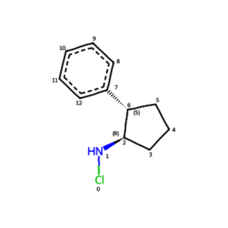 ClN[C@@H]1CCC[C@H]1c1ccccc1